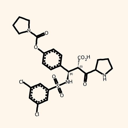 O=C(O)[C@H](C(=O)C1CCCN1)[C@@H](NS(=O)(=O)c1cc(Cl)cc(Cl)c1)c1ccc(OC(=O)N2CCCC2)cc1